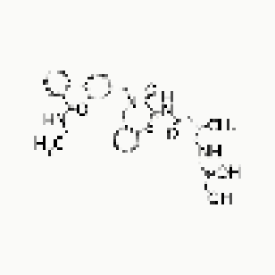 CCNC(=O)c1ccccc1-c1ccc(CN2Cc3ccccc3S[C@@H](NC(=O)CC(C)CNC[C@H](O)CO)C2=O)cc1